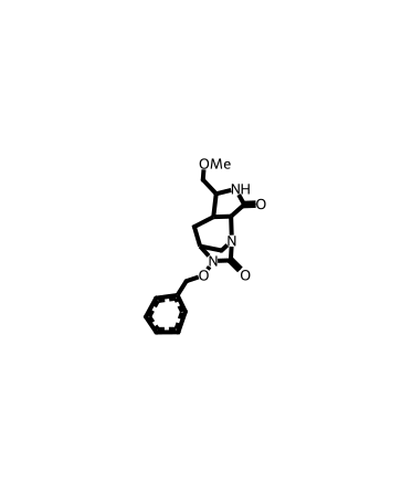 COCC1NC(=O)C2C1CC1CN2C(=O)N1OCc1ccccc1